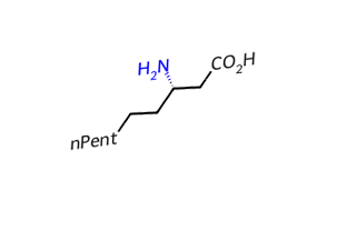 CCCCCCC[C@H](N)CC(=O)O